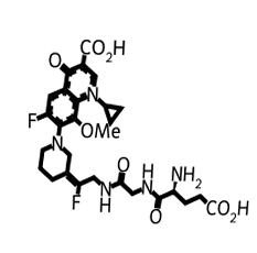 COc1c(N2CCC/C(=C(\F)CNC(=O)CNC(=O)[C@@H](N)CCC(=O)O)C2)c(F)cc2c(=O)c(C(=O)O)cn(C3CC3)c12